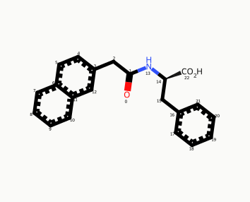 O=C(Cc1ccc2ccccc2c1)N[C@H](Cc1ccccc1)C(=O)O